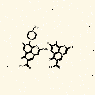 CC1=Cn2cc(C(=O)O)c(=O)c3cc(F)c(F)c(c32)O1.CC1=Cn2cc(C(=O)O)c(=O)c3cc(F)c(N4CCN(C)CC4)c(c32)O1